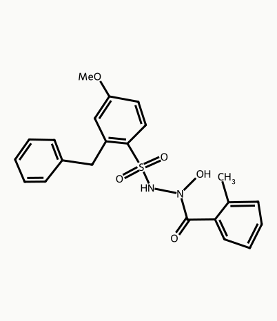 COc1ccc(S(=O)(=O)NN(O)C(=O)c2ccccc2C)c(Cc2ccccc2)c1